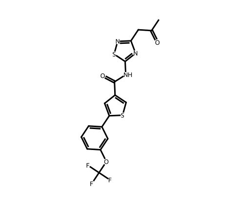 CC(=O)Cc1nsc(NC(=O)c2csc(-c3cccc(OC(F)(F)F)c3)c2)n1